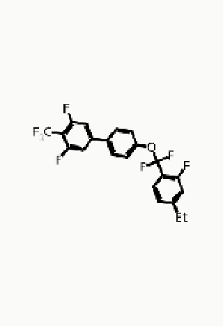 CCc1ccc(C(F)(F)Oc2ccc(-c3cc(F)c(C(F)(F)F)c(F)c3)cc2)c(F)c1